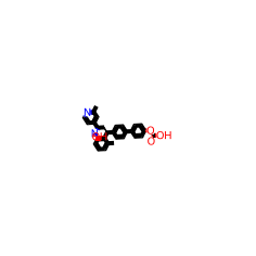 Cc1cc(/C(C[C@@H](c2ccc(-c3ccc(OC(=O)O)cc3)cc2)c2ccccc2C)=N/O)ccn1